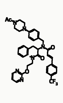 CC(=O)N1CCN(c2ccc(CN(C(=O)C=Cc3ccc(C(F)(F)F)cc3)C(Cc3ccccc3)C(=O)N(C)CCOc3ncccn3)cc2)CC1